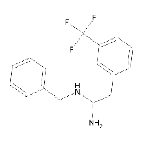 NC(Cc1cccc(C(F)(F)F)c1)NCc1ccccc1